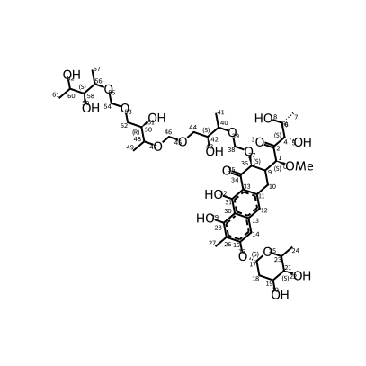 CO[C@H](C(=O)[C@@H](O)[C@@H](C)O)C1Cc2cc3cc(O[C@H]4CC(O)[C@H](O)C(C)O4)c(C)c(O)c3c(O)c2C(=O)[C@H]1OCOC(C)[C@@H](O)COCOC(C)[C@H](O)COCOC(C)[C@@H](O)C(C)O